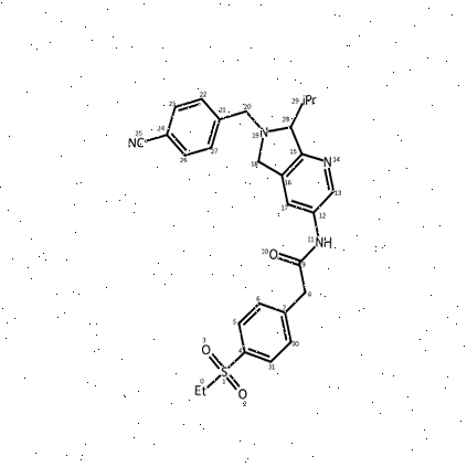 CCS(=O)(=O)c1ccc(CC(=O)Nc2cnc3c(c2)CN(Cc2ccc(C#N)cc2)C3C(C)C)cc1